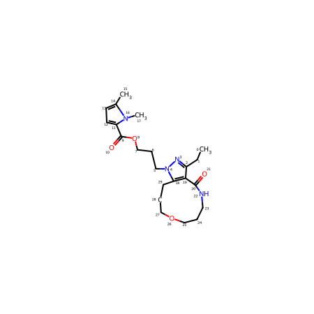 CCc1nn(CCCOC(=O)c2ccc(C)n2C)c2c1C(=O)NCCCOCCC2